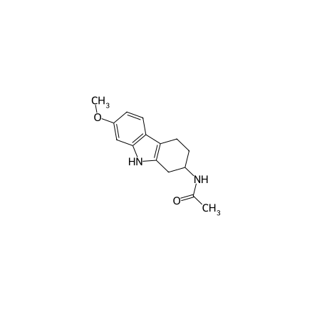 COc1ccc2c3c([nH]c2c1)CC(NC(C)=O)CC3